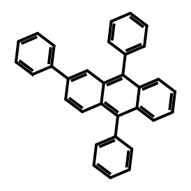 [c]1ccccc1-c1ccc2c(-c3ccccc3)c3ccccc3c(-c3ccccc3)c2c1